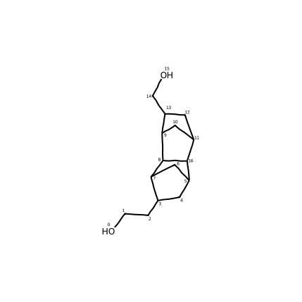 OCCC1CC2CC1C1C3CC(CC3CO)C21